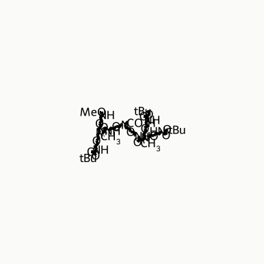 CONCCOCCN(CCOCCNC(=O)OC(C)(C)C)[C@@H](C)C(=O)NCCOCCN(CCOCCNC(=O)[C@H](C)N(CCOCCNC(=O)OC(C)(C)C)CCOCCNC(=O)OC(C)(C)C)CC(=O)O